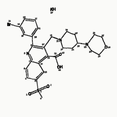 CS(=O)(=O)c1ccc2nc(-c3cccc(Br)c3)c(CN3CCC(N4CCOCC4)CC3)c(C(=O)O)c2c1.[KH]